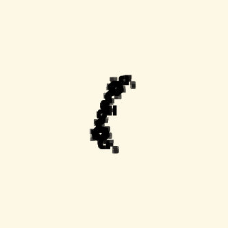 FC(F)(F)c1ccc(C=COBOC=Cc2ccc(C(F)(F)F)cc2)cc1